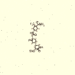 CCOc1cc(-c2ccc(CC(=O)Nc3ccc(C(N)=O)c(C(F)(F)F)c3)c(F)c2)c[nH]c1=O